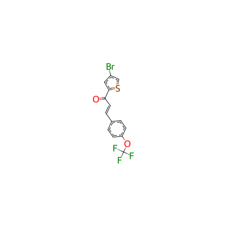 O=C(C=Cc1ccc(OC(F)(F)F)cc1)c1cc(Br)cs1